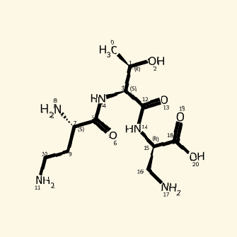 C[C@@H](O)[C@H](NC(=O)[C@@H](N)CCN)C(=O)N[C@H](CN)C(=O)O